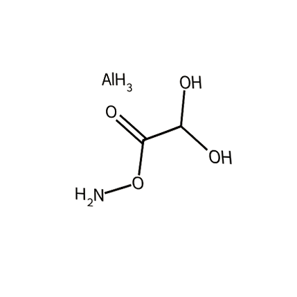 NOC(=O)C(O)O.[AlH3]